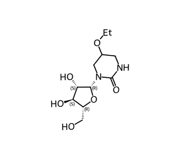 CCOC1CNC(=O)N([C@@H]2O[C@H](CO)[C@@H](O)[C@@H]2O)C1